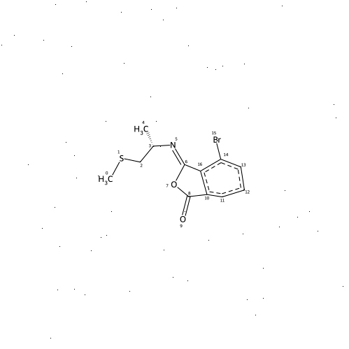 CSC[C@H](C)N=C1OC(=O)c2cccc(Br)c21